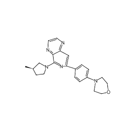 C[C@@H]1CCN(c2nc(-c3ccc(N4CCOCC4)cc3)cc3nccnc23)C1